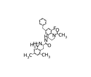 CC(=O)N1CCC(NC(=O)C(N)Cc2c(C)cc(C)cc2C)c2cc(Cc3ccccc3)cc(F)c21